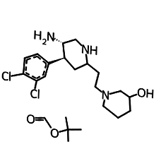 CC(C)(C)OC=O.N[C@@H]1CNC(CCN2CCCC(O)C2)C[C@H]1c1ccc(Cl)c(Cl)c1